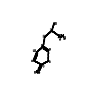 CC(N)CC1=CCC(=O)C=C1